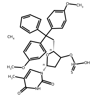 C.COc1ccc(C(C[C@H]2O[C@@H](n3cc(C)c(=O)[nH]c3=O)CC2O[PH](O)=S)(c2ccccc2)c2ccc(OC)cc2)cc1